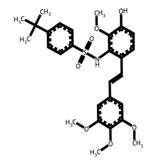 COc1cc(C=Cc2ccc(O)c(OC)c2NS(=O)(=O)c2ccc(C(C)(C)C)cc2)cc(OC)c1OC